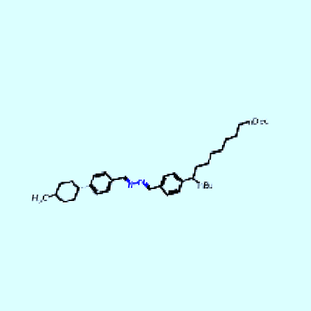 CCCCCCCCCCCCCCCCCC(CCCC)c1ccc(C=NN=Cc2ccc([C@H]3CC[C@H](C)CC3)cc2)cc1